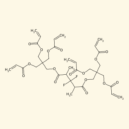 C=CC(=O)OCC(COC(=O)C=C)(COC(=O)C=C)COC(=O)C(C)C(F)(F)C(C)C(=O)OCC(COC(=O)C=C)(COC(=O)C=C)COC(=O)C=C